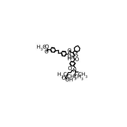 CCC(CC)N(Cc1cccc(C(=O)Nc2sc3c(c2C(=O)Nc2ccc(CCc4ccc(C(=O)OC)cc4)cc2)CCCCC3)c1)C(=O)CCC(C)(C)C(=O)O